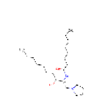 CCCCCCCC(=O)N[C@H](CN1CCCC1)C(O)CCCCCCC